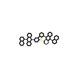 C1=Cc2c(c(-c3cccc4ccccc34)c3ccccc3c2-c2cccc3c2sc2ccc(-c4c5ccccc5c(-c5cccc6ccccc56)c5ccccc45)cc23)CC1